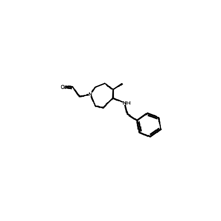 CC1CCN(CC=O)CCC1NCc1ccccc1